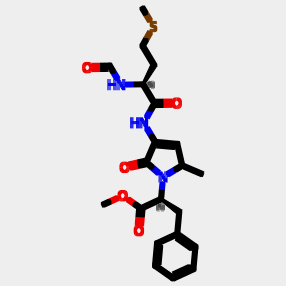 COC(=O)[C@H](Cc1ccccc1)N1C(=O)C(NC(=O)[C@H](CCSC)NC=O)=CC1C